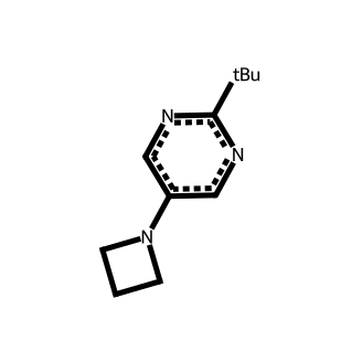 CC(C)(C)c1ncc(N2CCC2)cn1